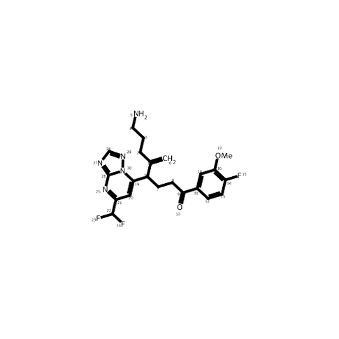 C=C(CCCN)C(CCC(=O)c1ccc(F)c(OC)c1)c1cc(C(F)F)nc2ncnn12